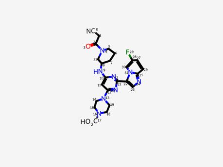 N#CCC(=O)N1CCCC(Nc2cc(N3CCN(C(=O)O)CC3)nc(-c3cnc4ccc(F)cn34)n2)C1